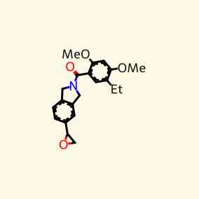 CCc1cc(C(=O)N2Cc3ccc(C4CO4)cc3C2)c(OC)cc1OC